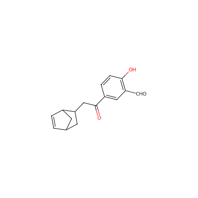 O=Cc1cc(C(=O)CC2CC3C=CC2C3)ccc1O